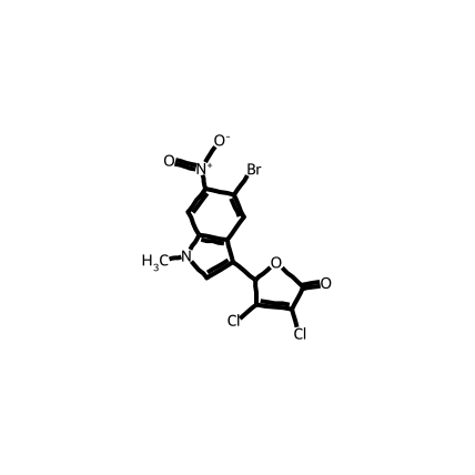 Cn1cc(C2OC(=O)C(Cl)=C2Cl)c2cc(Br)c([N+](=O)[O-])cc21